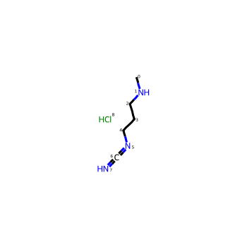 CNCCCN=C=N.Cl